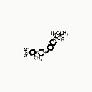 Cc1cc([N+](=O)[O-])ccc1N1CCN(CC2CCC3(CC2)CCN(C(=O)OC(C)(C)C)CC3)CC1